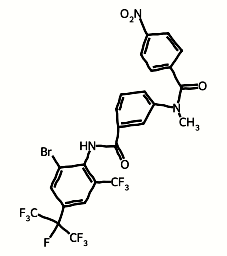 CN(C(=O)c1ccc([N+](=O)[O-])cc1)c1cccc(C(=O)Nc2c(Br)cc(C(F)(C(F)(F)F)C(F)(F)F)cc2C(F)(F)F)c1